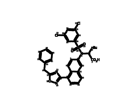 CCCCC(C(=O)O)N(c1ccc2c(-c3noc(Cc4ccccc4)n3)cccc2c1)S(=O)(=O)c1cc(Cl)cc(Cl)c1